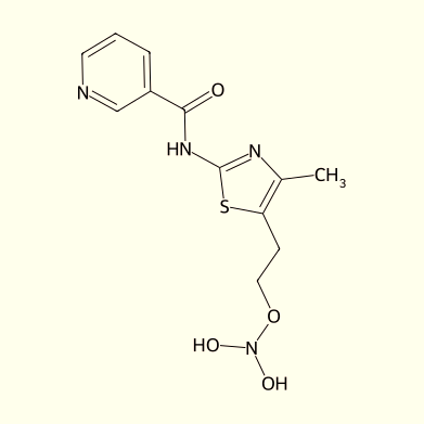 Cc1nc(NC(=O)c2cccnc2)sc1CCON(O)O